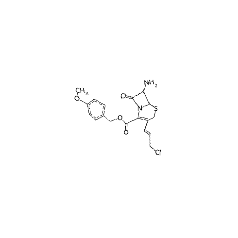 COc1ccc(COC(=O)C2=C(/C=C/CCl)CSC3C(N)C(=O)N23)cc1